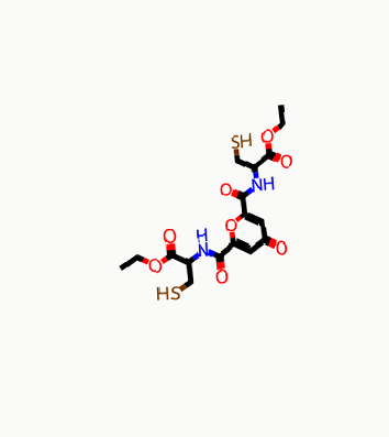 CCOC(=O)C(CS)NC(=O)c1cc(=O)cc(C(=O)NC(CS)C(=O)OCC)o1